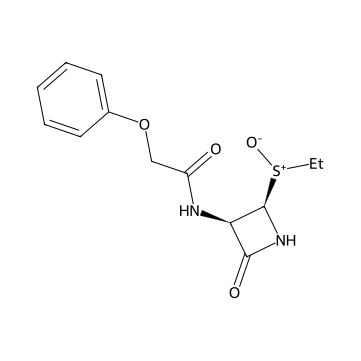 CC[S+]([O-])[C@H]1NC(=O)[C@H]1NC(=O)COc1ccccc1